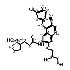 N#Cc1cnc2cc(OCC(O)CO)c(NC(=O)CCC3CCSS3(O)O)cc2c1Nc1ccc(F)c(Cl)c1